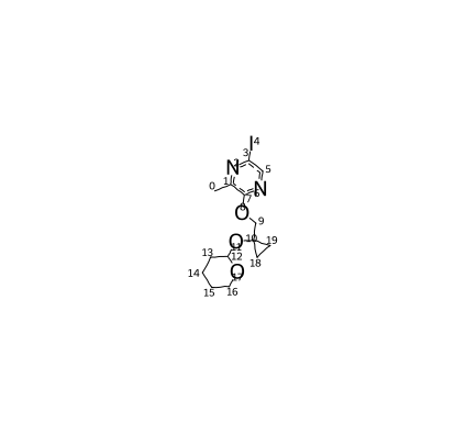 Cc1nc(I)cnc1OCC1(OC2CCCCO2)CC1